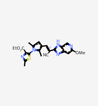 CCOC(=O)c1nc(C)sc1-n1c(C)cc(/C=C(\C#N)c2nc3cc(OC)ncc3[nH]2)c1C